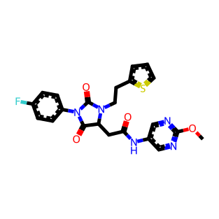 COc1ncc(NC(=O)CC2C(=O)N(c3ccc(F)cc3)C(=O)N2CCc2cccs2)cn1